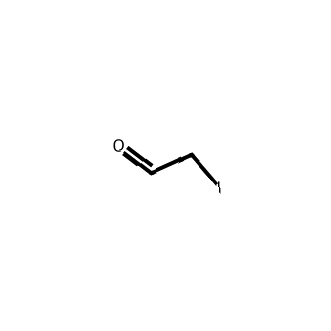 O=CCI